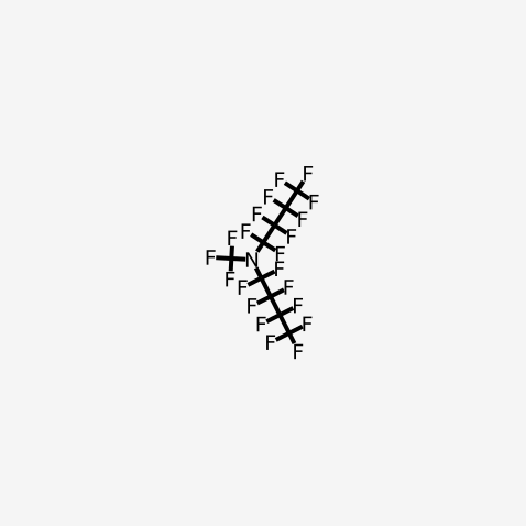 FC(F)(F)N(C(F)(F)C(F)(F)C(F)(F)C(F)(F)F)C(F)(F)C(F)(F)C(F)(F)C(F)(F)F